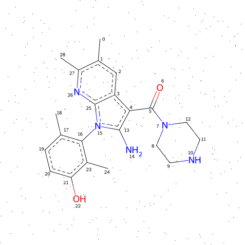 Cc1cc2c(C(=O)N3CCNCC3)c(N)n(-c3c(C)ccc(O)c3C)c2nc1C